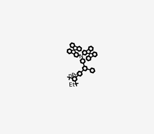 CCCC(C)(C)c1cc(-c2ccc(-c3cc(-c4ccccc4)cc(-c4ccc(N(c5ccc6c(c5)C5(c7ccccc7-c7ccccc75)c5ccccc5-6)c5ccc6c(c5)C5(c7ccccc7-c7ccccc75)c5ccccc5-6)cc4)c3)cc2)cc(C(C)(C)CC)c1